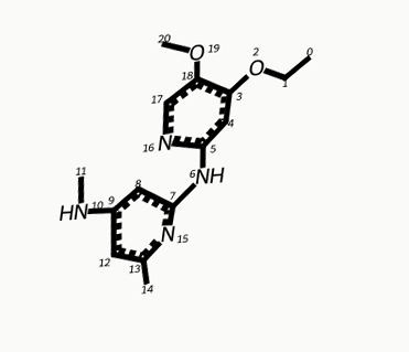 CCOc1cc(Nc2cc(NC)cc(C)n2)ncc1OC